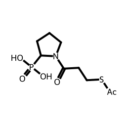 CC(=O)SCCC(=O)N1CCCC1P(=O)(O)O